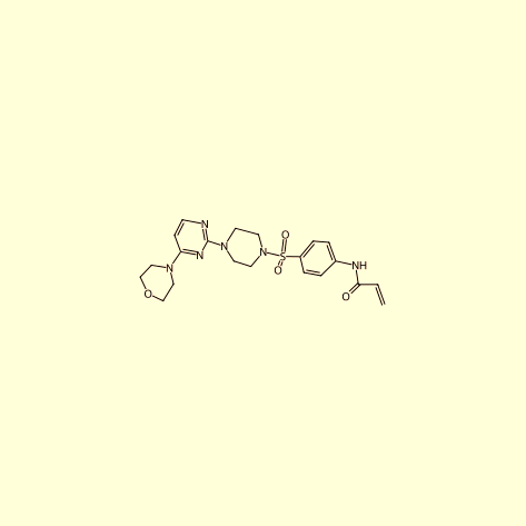 C=CC(=O)Nc1ccc(S(=O)(=O)N2CCN(c3nccc(N4CCOCC4)n3)CC2)cc1